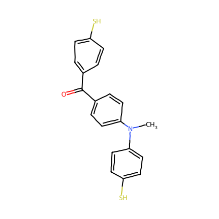 CN(c1ccc(S)cc1)c1ccc(C(=O)c2ccc(S)cc2)cc1